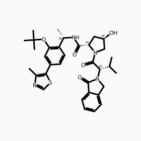 Cc1ncsc1-c1ccc([C@H](C)NC(=O)[C@@H]2C[C@@H](O)CN2C(=O)[C@H](C(C)C)N2Cc3ccccc3C2=O)c(OC(C)(C)C)c1